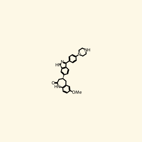 COc1ccc2c(c1)C[C@H](c1ccc3c(-c4ccc(N5CCNCC5)cc4)n[nH]c3c1)CC(=O)N2